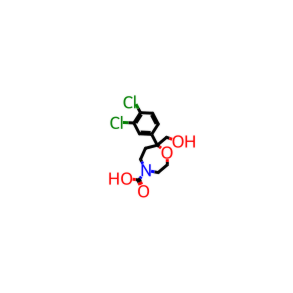 O=C(O)N1CCOC(CO)(c2ccc(Cl)c(Cl)c2)CC1